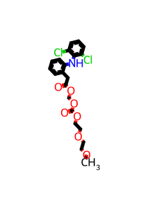 COCCOCCOC(=O)OCOC(=O)Cc1ccccc1Nc1c(Cl)cccc1Cl